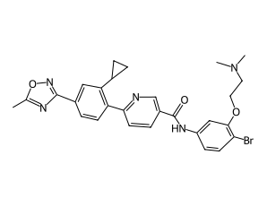 Cc1nc(-c2ccc(-c3ccc(C(=O)Nc4ccc(Br)c(OCCN(C)C)c4)cn3)c(C3CC3)c2)no1